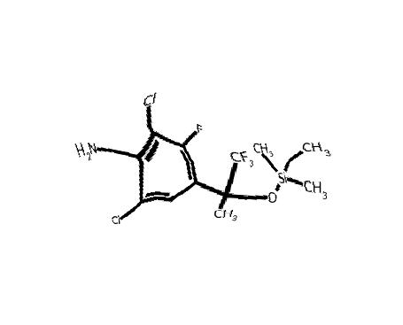 CC(O[Si](C)(C)C)(c1cc(Cl)c(N)c(Cl)c1F)C(F)(F)F